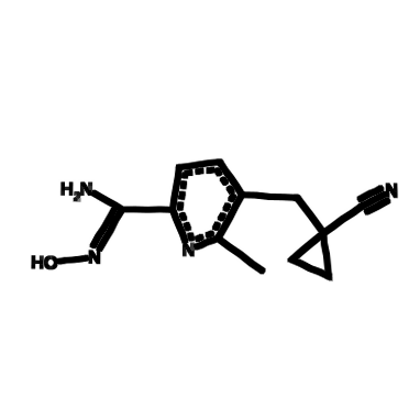 Cc1nc(C(N)=NO)ccc1CC1(C#N)CC1